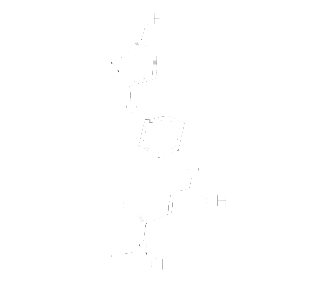 CC(/C=C/C(=O)N(C)C)Oc1ccc(Oc2ccc(C(F)(F)F)cn2)cc1